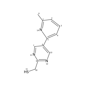 Cc1cccc(-c2cnc(CS)nc2)n1